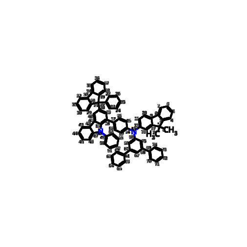 CC1(C)c2ccccc2-c2ccc(N(c3ccc(-c4cc(C5(c6ccccc6)c6ccccc6-c6ccccc65)cc5c6ccccc6n(-c6ccccc6)c45)cc3)c3cc(-c4ccccc4)cc(-c4ccccc4)c3)cc21